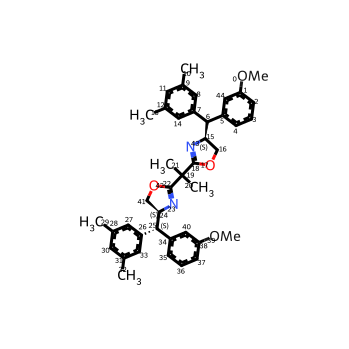 COc1cccc(C(c2cc(C)cc(C)c2)[C@H]2COC(C(C)(C)C3=N[C@@H]([C@@H](c4cc(C)cc(C)c4)c4cccc(OC)c4)CO3)=N2)c1